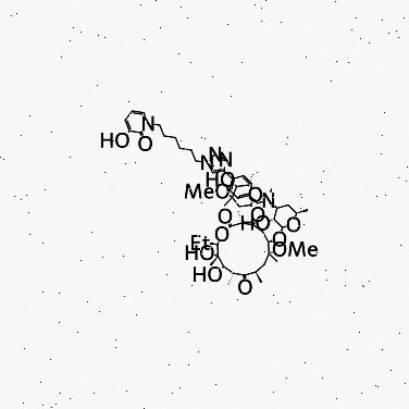 CC[C@H]1OC(=O)[C@H](C)[C@@H](O[C@H]2C[C@@](C)(OC)[C@@H](O)[C@H](C)O2)[C@H](C)[C@@H](O[C@@H]2O[C@H](C)C[C@H](N(C)Cc3ccc(-c4cn(CCCCCCn5cccc(O)c5=O)nn4)cc3)[C@H]2O)[C@](C)(OC)C[C@@H](C)C(=O)[C@H](C)[C@@H](O)[C@]1(C)O